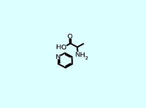 CC(N)C(=O)O.c1ccncc1